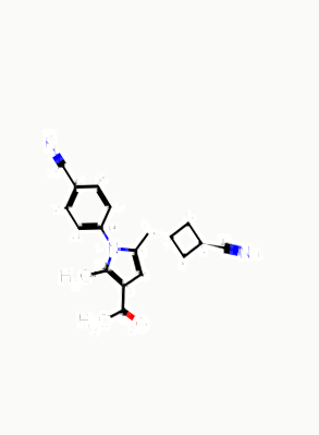 CC(=O)c1cc(C[C@H]2C[C@H](C#N)C2)n(-c2ccc(C#N)cc2)c1C